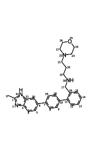 Cc1nc2ccc(-c3ccc(-c4ccccc4CNCCCN4CCOCC4)cc3)cc2[nH]1